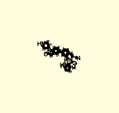 N#C[C@H](Cc1ccc(-c2ccc3c(c2)CC(=O)N3C2CCNCC2)cc1F)NC(=O)[C@H]1N[C@@H]2CC[C@H]1C2